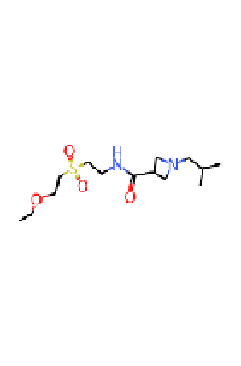 CCOCCS(=O)(=O)CCNC(=O)C1CN(CC(C)C)C1